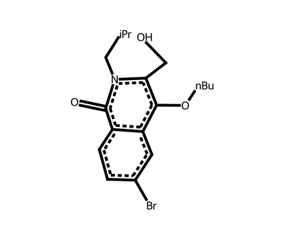 CCCCOc1c(CO)n(CC(C)C)c(=O)c2ccc(Br)cc12